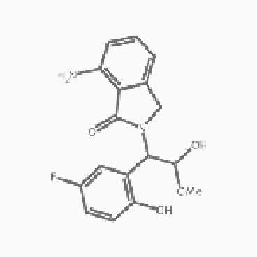 COC(O)C(c1cc(F)ccc1O)N1Cc2cccc(N)c2C1=O